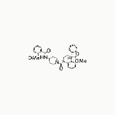 COC(=O)[C@]1(c2ccccc2)CC[C@@H](C(=O)N2CCC(NC(=O)c3ccccc3OC)CC2)c2ccccc21